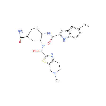 Cc1ccc2[nH]c(C(=O)N[C@H]3CC[C@H](C(N)=O)C[C@H]3NC(=O)c3nc4c(s3)CN(C)CC4)cc2c1